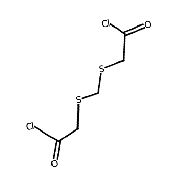 O=C(Cl)CSCSCC(=O)Cl